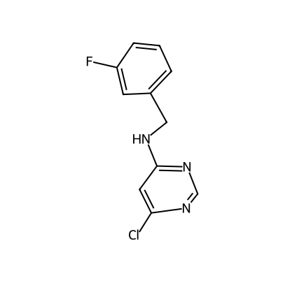 Fc1cccc(CNc2cc(Cl)ncn2)c1